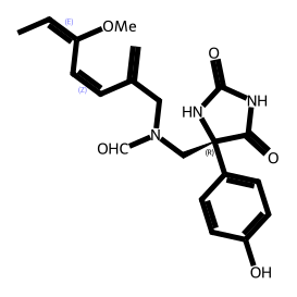 C=C(/C=C\C(=C/C)OC)CN(C=O)C[C@@]1(c2ccc(O)cc2)NC(=O)NC1=O